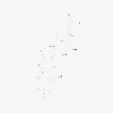 C[C@@H](Nc1ncnc2c1cc(C1(O)CCS(=O)(=O)C1)c(=O)n2C)c1cccc(C(F)F)c1F